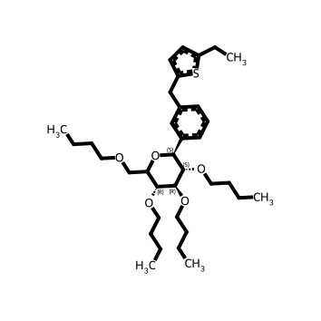 CCCCOCC1O[C@@H](c2cccc(Cc3ccc(CC)s3)c2)[C@H](OCCCC)[C@@H](OCCCC)[C@@H]1OCCCC